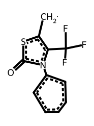 [CH2]c1sc(=O)n(-c2ccccc2)c1C(F)(F)F